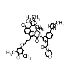 Cc1cc(OCCCc2c3n(c4c(-c5c(C)nn(C)c5C)c(Cl)ccc24)C(C)CN(c2cn(CC(=O)N4CCOCC4)c4ccc(-c5ncn(C)n5)cc24)C3=O)cc(C)c1Cl